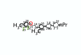 CCCC1CCC(C2C=CC(c3ccc(CCCOc4ccc(C)c(F)c4F)c(C)c3)CC2)CC1